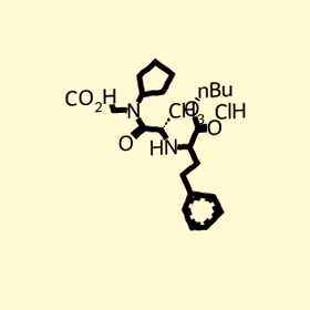 CCCCOC(=O)C(CCc1ccccc1)N[C@@H](C)C(=O)N(CC(=O)O)C1CCCC1.Cl